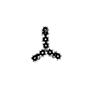 c1ccc2oc(-c3ccc(N(c4ccc(-c5ccc(-c6cn7ccccc7n6)cc5)cc4)c4ccc(-c5cc6ccccc6o5)cc4)cc3)cc2c1